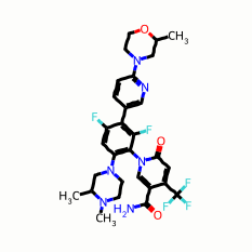 CC1CN(c2ccc(-c3c(F)cc(N4CCN(C)C(C)C4)c(-n4cc(C(N)=O)c(C(F)(F)F)cc4=O)c3F)cn2)CCO1